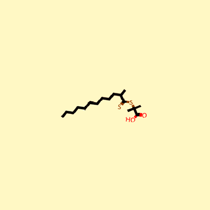 CCCCCCCCCCC(C)C(=S)SC(C)(C)C(=O)O